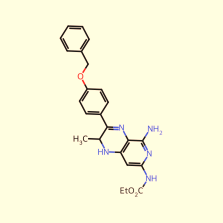 CCOC(=O)Nc1cc2c(c(N)n1)N=C(c1ccc(OCc3ccccc3)cc1)C(C)N2